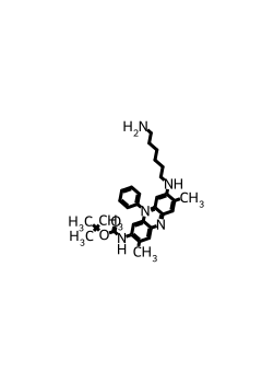 Cc1cc2nc3cc(C)c(NC(=O)OC(C)(C)C)cc3[n+](-c3ccccc3)c2cc1NCCCCCCN